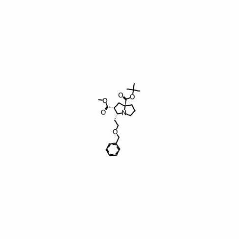 COC(=O)[C@@H]1C[C@]2(C(=O)OC(C)(C)C)CCCN2[C@@H]1CCOCc1ccccc1